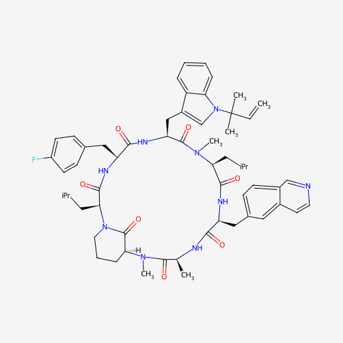 C=CC(C)(C)n1cc(C[C@@H]2NC(=O)[C@H](Cc3ccc(F)cc3)NC(=O)[C@H](CC(C)C)N3CCC[C@@H](C3=O)N(C)C(=O)[C@H](C)NC(=O)[C@H](Cc3ccc4cnccc4c3)NC(=O)[C@H](CC(C)C)N(C)C2=O)c2ccccc21